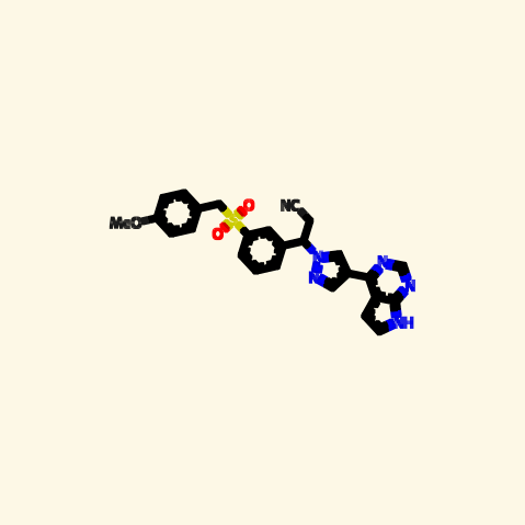 COc1ccc(CS(=O)(=O)c2cccc(C(CC#N)n3cc(-c4ncnc5[nH]ccc45)cn3)c2)cc1